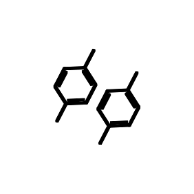 Cc1ccc(C)cc1.Cc1ccc(C)cc1